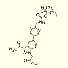 CC(=O)c1nn(CC(=O)O)c2ccc(-c3cnc(CNC(=O)OC(C)(C)C)nc3)cc12